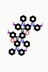 Ic1cccc(N(c2ccccc2)c2cc3c4c(c2)N(c2ccccc2)c2cc(I)ccc2B4c2cc4c(cc2O3)N(c2ccccc2)c2cc(N(c3ccccc3)c3cccc(I)c3)cc3c2B4c2ccc(I)cc2O3)c1